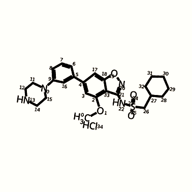 COc1cc(-c2cccc(N3CCNCC3)c2)cc2onc(NS(=O)(=O)CC3CCCCC3)c12.Cl